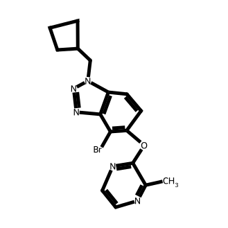 Cc1nccnc1Oc1ccc2c(nnn2CC2CCC2)c1Br